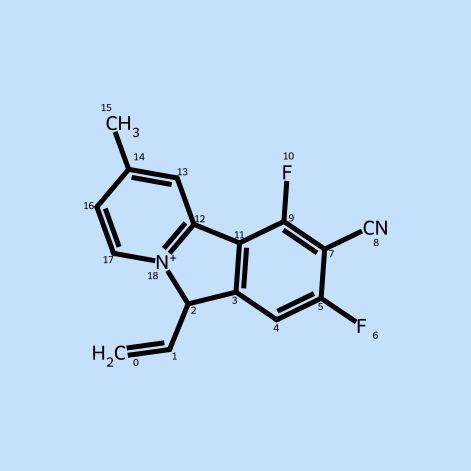 C=CC1c2cc(F)c(C#N)c(F)c2-c2cc(C)cc[n+]21